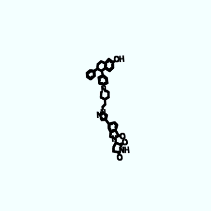 O=C1CCC(N2Cc3cc(-c4cnn(CCC5CCN(c6ccc(C7c8ccc(O)cc8CCC7c7ccccc7)cc6)CC5)c4)ccc3C2=O)C(=O)N1